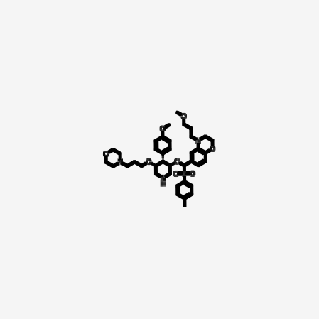 COCCCN1CCOc2ccc(C(O[C@H]3CNC[C@@H](OCCCN4CCOCC4)[C@@H]3c3ccc(OC)cc3)S(=O)(=O)c3ccc(C)cc3)cc21